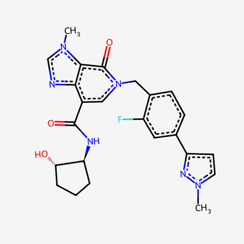 Cn1ccc(-c2ccc(Cn3cc(C(=O)N[C@H]4CCC[C@@H]4O)c4ncn(C)c4c3=O)c(F)c2)n1